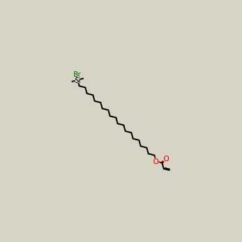 C=CC(=O)OCCCCCCCCCCCCCCCCCCCC[Si](C)(C)Br